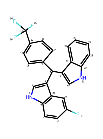 Fc1ccc2[nH]cc(C(c3ccc(C(F)(F)F)cc3)c3c[nH]c4ccccc34)c2c1